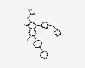 O=C(O)Oc1cn(-c2ccc(Cn3ccnn3)cc2)c2c(F)c(N3CCN(c4ccccc4)CC3)c(F)cc2c1=O